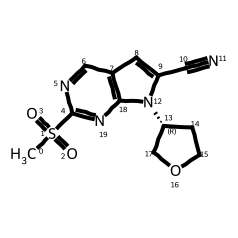 CS(=O)(=O)c1ncc2cc(C#N)n([C@@H]3CCOC3)c2n1